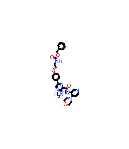 Nc1ncc(-c2ccc(OCCNC(=O)OCc3ccccc3)cc2)nc1C(=O)Nc1cnccc1N1CCOCC1